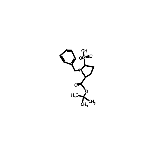 CC(C)(C)OC(=O)C1CCC(S(=O)(=O)O)N1Cc1ccccc1